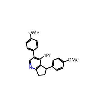 CCCc1c(-c2ccc(OC)cc2)[c]nc2c1C(c1ccc(OC)cc1)CC2